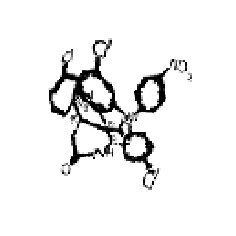 O=C1C[C@@H]([C@]2(I)C=CC=C(Cl)C2)[C@]2(C(=O)Nc3cc(Cl)ccc32)[C@H](c2cc(Cl)ccc2Oc2ccc([N+](=O)[O-])cc2)N1